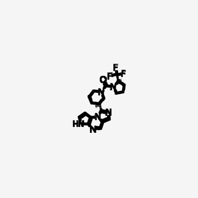 O=C(N1CCC[C@@H](c2ncc3cnc4[nH]ccc4n23)C1)N1CCC[C@@H]1C(F)(F)F